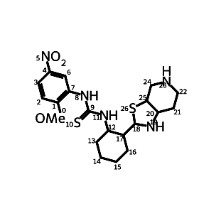 COc1ccc([N+](=O)[O-])cc1NC(=S)NC1CCCCC1C1NC2CCNCC2S1